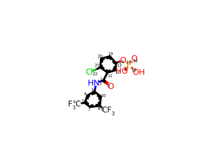 O=C(Nc1cc(C(F)(F)F)cc(C(F)(F)F)c1)c1cc(OP(=O)(O)O)ccc1Cl